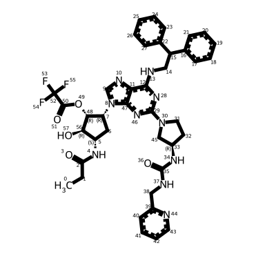 CCC(=O)N[C@H]1C[C@@H](n2cnc3c(NCC(c4ccccc4)c4ccccc4)nc(N4CC[C@@H](NC(=O)NCc5ccccn5)C4)nc32)[C@@H](OC(=O)C(F)(F)F)[C@@H]1O